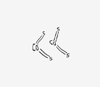 [S]=[Co]=[S].[S]=[Co]=[S]